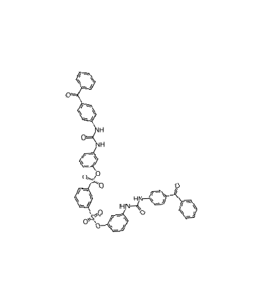 O=C(Nc1ccc(C(=O)c2ccccc2)cc1)Nc1cccc(OS(=O)(=O)c2cccc(S(=O)(=O)Oc3cccc(NC(=O)Nc4ccc(C(=O)c5ccccc5)cc4)c3)c2)c1